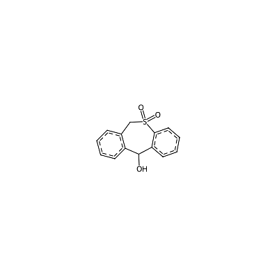 O=S1(=O)Cc2ccccc2C(O)c2ccccc21